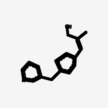 C/C(=C/c1ccc(Cc2cccnc2)cc1)CO